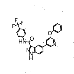 O=C(Nc1ccc(C(F)(F)F)cc1)c1n[nH]c2ccc(-c3cncc(Oc4ccccc4)c3)cc12